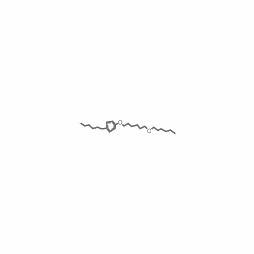 [CH2]CCCCCc1ccc(OCCCCCCOCCCCCC)cc1